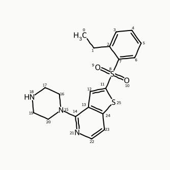 CCc1ccccc1S(=O)(=O)c1cc2c(N3CCNCC3)nccc2s1